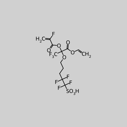 C=COC(=O)C(OCCCC(F)(F)C(F)(F)S(=O)(=O)O)(OC(=O)C(=C)F)C(F)(F)F